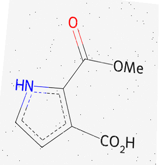 COC(=O)c1[nH]ccc1C(=O)O